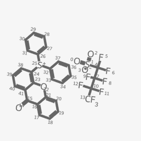 O=S(=O)([O-])C(F)(F)C(F)(F)C(F)(F)C(F)(F)F.O=c1c2ccccc2oc2c([S+](c3ccccc3)c3ccccc3)cccc12